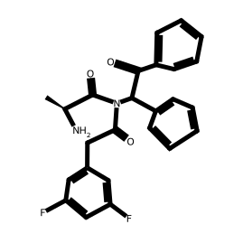 C[C@H](N)C(=O)N(C(=O)Cc1cc(F)cc(F)c1)C(C(=O)c1ccccc1)c1ccccc1